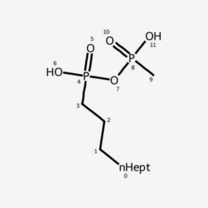 CCCCCCCCCCP(=O)(O)OP(C)(=O)O